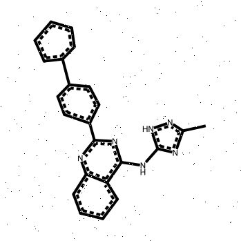 Cc1n[nH]c(Nc2nc(-c3ccc(-c4ccccc4)cc3)nc3ccccc23)n1